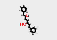 O=C(CCC(O)CCc1ccccc1)Cc1ccccc1